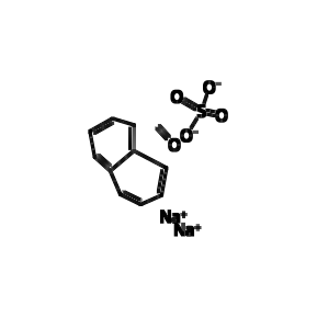 C=O.O=S(=O)([O-])[O-].[Na+].[Na+].c1ccc2ccccc2c1